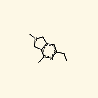 CCc1cc2c(c(C)n1)CN(C)C2